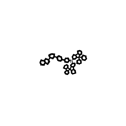 c1ccc(C2(c3ccccc3)c3ccccc3-c3ccc(N(c4ccc(-c5ccc(-c6cccc(-c7ccc8ccccc8c7)c6)cc5)cc4)c4ccc5c(c4)C(c4ccccc4)(c4ccccc4)c4ccccc4-5)cc32)cc1